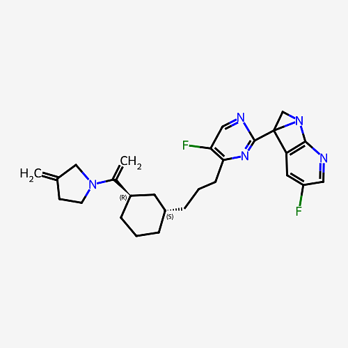 C=C1CCN(C(=C)[C@@H]2CCC[C@@H](CCCc3nc(C45CN4c4ncc(F)cc45)ncc3F)C2)C1